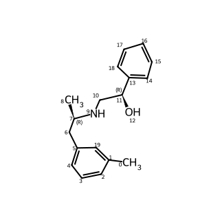 Cc1cccc(C[C@@H](C)NC[C@H](O)c2ccccc2)c1